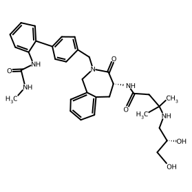 CNC(=O)Nc1ccccc1-c1ccc(CN2Cc3ccccc3C[C@@H](NC(=O)CC(C)(C)NC[C@H](O)CO)C2=O)cc1